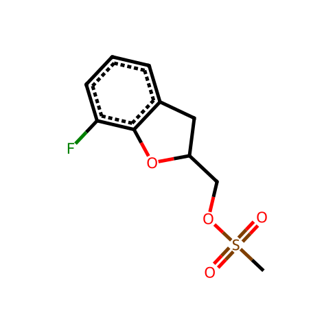 CS(=O)(=O)OCC1Cc2cccc(F)c2O1